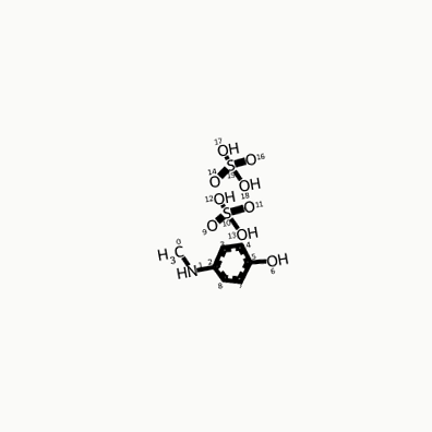 CNc1ccc(O)cc1.O=S(=O)(O)O.O=S(=O)(O)O